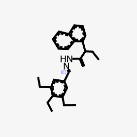 C=C(N/N=C/c1cc(CC)c(CC)c(CC)c1)C(CC)c1cccc2ccccc12